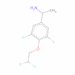 CC(N)c1cc(F)c(OCC(F)F)c(F)c1